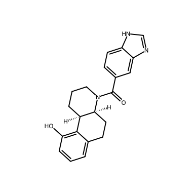 O=C(c1ccc2[nH]cnc2c1)N1CCC[C@@H]2c3c(O)cccc3CC[C@@H]21